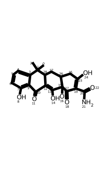 CC1(C)c2cccc(O)c2C(=O)C2=C(O)C3(O)C(=O)C(C(N)=O)=C(O)CC3CC21